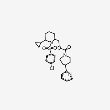 O=C(OCC1CCCC(C2CC2)N1S(=O)(=O)c1ccc(Cl)cc1)N1CCC(c2ccccn2)CC1